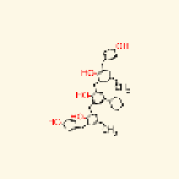 C=Cc1cc(Cc2ccc(O)cc2)c(O)c(Cc2cc(C3CCCCC3)cc(Cc3cc(C=C)cc(Cc4ccc(O)cc4)c3O)c2O)c1